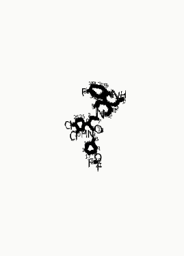 C=C1CC2(CCN(CCC(C(=O)NCc3cccc(OC(F)F)c3)c3ccc(Cl)c(Cl)c3)CC2)c2cc(F)ccc2N1